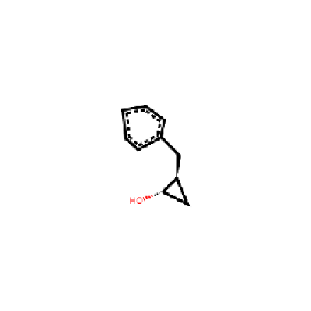 O[C@H]1C[C@@H]1Cc1ccccc1